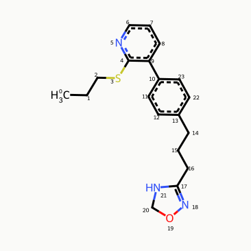 CCCSc1ncccc1-c1ccc(CCCC2=NOCN2)cc1